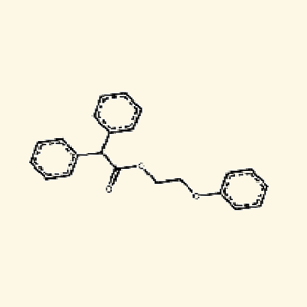 O=C(OCCOc1ccccc1)C(c1ccccc1)c1ccccc1